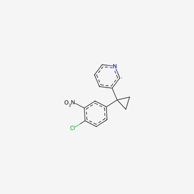 O=[N+]([O-])c1cc(C2(c3[c]nccc3)CC2)ccc1Cl